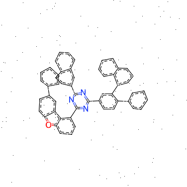 c1ccc(-c2ccc3oc4cccc(-c5nc(-c6ccc(-c7ccccc7)c(-c7cccc8ccccc78)c6)nc(-c6ccc7ccccc7c6)n5)c4c3c2)cc1